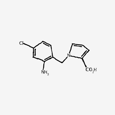 Nc1cc(Cl)ccc1Cn1cccc1C(=O)O